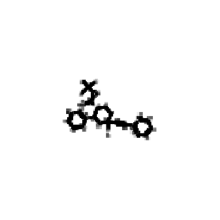 CC(C)(C)OC(=O)[C@@H]1CCC(F)(C#Cc2ncccn2)C[C@H]1c1ccccc1